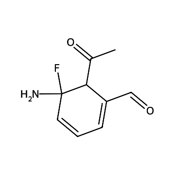 CC(=O)C1C(C=O)=CC=CC1(N)F